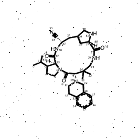 CC(C)C1CCN2C(=O)[C@@H](N3CCc4ccccc4C3)C(C)(C)CNC(=O)[C@@H]3CC(CN3)C[C@@H](C#N)NC(=O)[C@H]12